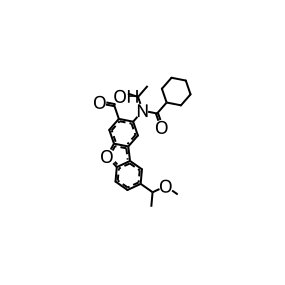 COC(C)c1ccc2oc3cc(C(=O)O)c(N(C(=O)C4CCCCC4)C(C)C)cc3c2c1